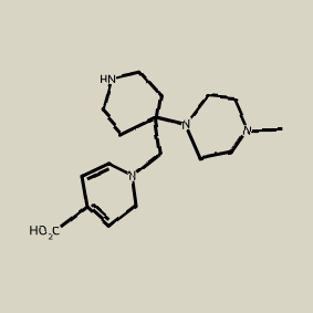 CN1CCN(C2(CN3C=CC(C(=O)O)=CC3)CCNCC2)CC1